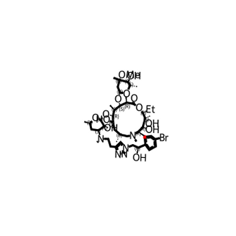 CC[C@H]1OC(=O)[C@H](C)[C@@H](O[C@H]2C[C@@](C)(OC)[C@@H](O)[C@H](C)O2)[C@H](C)[C@@H](O[C@@H]2O[C@H](C)C[C@H](N(C)CCc3cn(C[C@H](O)c4ccc(Br)cc4)nn3)[C@H]2O)[C@](C)(O)C[C@@H](C)CN(C)[C@H](C)[C@@H](O)[C@]1(C)O